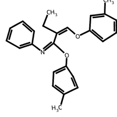 CCC(=COc1cccc(C)c1)C(=Nc1ccccc1)Oc1ccc(C)cc1